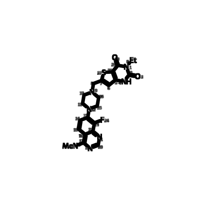 CCn1c(=O)[nH]c2cc(CN3CCN(c4ccc5c(NC)ncnc5c4F)CC3)sc2c1=O